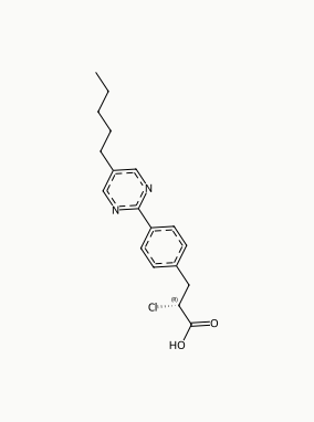 CCCCCc1cnc(-c2ccc(C[C@@H](Cl)C(=O)O)cc2)nc1